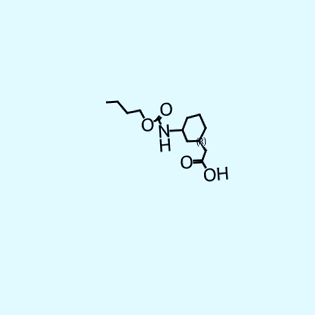 CCCCOC(=O)NC1CCC[C@@H](CC(=O)O)C1